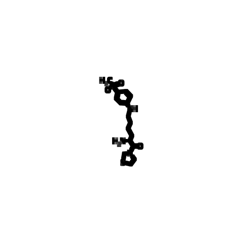 CS(=O)(=O)c1ccc(NCCCC[C@H](N)C(=O)N2CCSC2)cc1